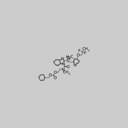 Cc1c(OCC(C)(F)F)ccnc1C[S@@+]([O-])c1nc2ccccc2n1C(=O)N(C)CCOC(=O)OCc1ccccc1